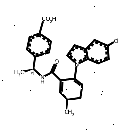 CC1C=C(C(=O)N[C@@H](C)c2ccc(C(=O)O)cc2)C(n2ccc3cc(Cl)ccc32)=CC1